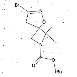 CC(C)(C)OC(=O)N1CC2(CC(Br)=NO2)C1(C)C